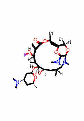 CC/C1=C2\OC(N(C)C)C(O[C@@H]2CC)N(C)C[C@H](C)C[C@@](C)(O)[C@H](O[C@H]2C[C@@H](N(C)C)C[C@@H](C)O2)[C@@H](C)[C@H](OI)[C@@H](C)C(=O)O1